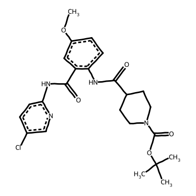 COc1ccc(NC(=O)C2CCN(C(=O)OC(C)(C)C)CC2)c(C(=O)Nc2ccc(Cl)cn2)c1